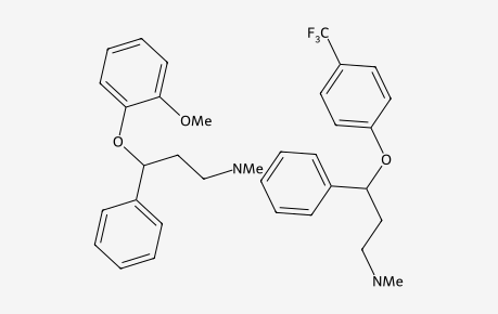 CNCCC(Oc1ccc(C(F)(F)F)cc1)c1ccccc1.CNCCC(Oc1ccccc1OC)c1ccccc1